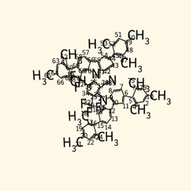 Cc1cc(C)c(-c2ccc3c(c2)c2ccc(-c4c(C)cc(C)cc4C)cc2n3-c2c(C(F)(F)F)cc3c(c2C#N)-n2c4ccc(-c5c(C)cc(C)cc5C)cc4c4ccc(-c5c(C)cc(C)cc5C)c(c42)C3(F)F)c(C)c1